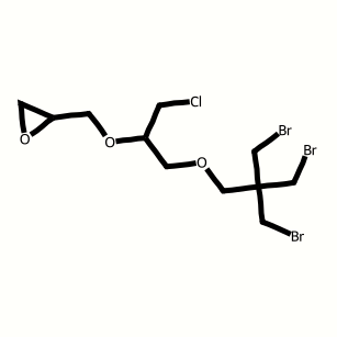 ClCC(COCC(CBr)(CBr)CBr)OCC1CO1